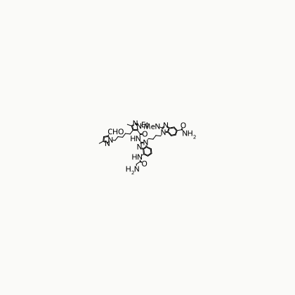 CCn1nc(C)c(CCCCCn2nc(C)cc2C=O)c1C(=O)Nc1nc2c(NC(=O)CN)cccc2n1CCCCn1c(NC)nc2cc(C(N)=O)ccc21